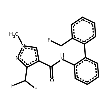 Cn1cc(C(=O)Nc2ccccc2-c2ccccc2CF)c(C(F)F)n1